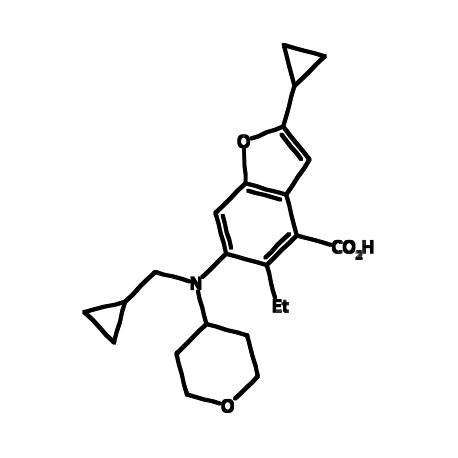 CCc1c(N(CC2CC2)C2CCOCC2)cc2oc(C3CC3)cc2c1C(=O)O